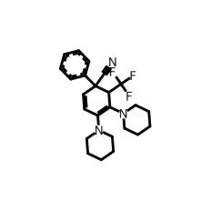 N#CC1(c2ccccc2)C=CC(N2CCCCC2)=C(N2CCCCC2)C1C(F)(F)F